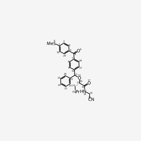 CSc1ccc(C(=O)c2ccc(C(O[C@@H](CC(C)C)C(=O)NCC#N)c3ccccc3)cc2)cc1